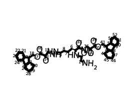 NCC(=O)N[C@@H](CCCCNNCC(=O)C(=O)OCC1c2ccccc2-c2ccccc21)C(=O)NCC(=O)C(=O)OCC1c2ccccc2-c2ccccc21